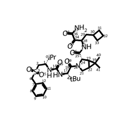 CC(C)[C@@H](CS(=O)(=O)Cc1ccccc1)NC(=O)N[C@H](C(=O)N1CC2C([C@H]1C(=O)NC(CC1CCC1)C(=O)C(N)=O)C2(C)C)C(C)(C)C